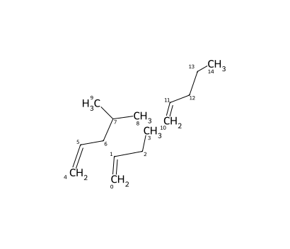 C=CCC.C=CCC(C)C.C=CCCC